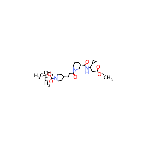 CCOC(=O)CC(NC(=O)[C@@H]1CCCN(C(=O)CCC2CCN(C(=O)OC(C)(C)C)CC2)C1)C1CC1